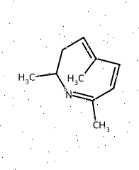 CC1=N/C(C)C/C=C(C)/C=C\1